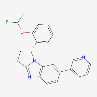 FC(F)Oc1ccccc1[C@H]1CCc2nc3ccc(-c4cccnc4)cc3n21